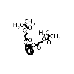 C=C(C)C(=O)OCCC(=O)OC12CC3CC(C1)CC(OC(=O)CCOC(=O)C(=C)C)(C3)C2